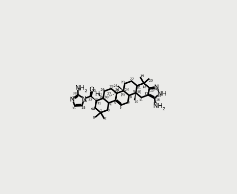 CC1(C)CC2C3=CCC4[C@@]5(C)Cc6c(n[nH]c6N)C(C)(C)C5CC[C@@]4(C)[C@]3(C)CC[C@@H]2[C@H](C(=O)n2ccnc2N)C1